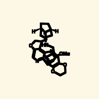 COc1ccc2ncc3c(c2n1)C(CN1[C@@H]2CC[C@H]1C[C@H](NCc1cc4c(cn1)OCCO4)C2)CO3